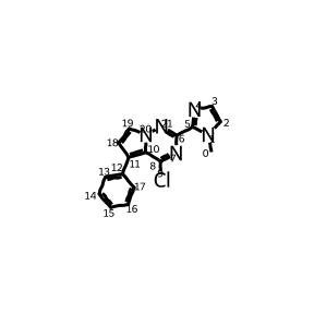 Cn1ccnc1-c1nc(Cl)c2c(-c3ccccc3)ccn2n1